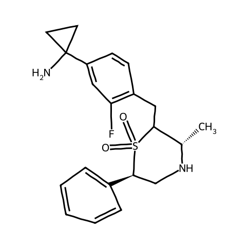 C[C@@H]1NC[C@@H](c2ccccc2)S(=O)(=O)C1Cc1ccc(C2(N)CC2)cc1F